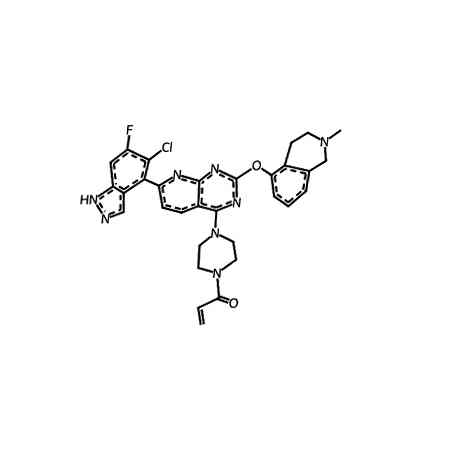 C=CC(=O)N1CCN(c2nc(Oc3cccc4c3CCN(C)C4)nc3nc(-c4c(Cl)c(F)cc5[nH]ncc45)ccc23)CC1